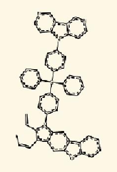 C=Cc1c(/C=C\C)c2cc3oc4ccccc4c3cc2n1-c1ccc([Si](c2ccccc2)(c2ccccc2)c2ccc(-n3c4ccncc4c4cnccc43)cc2)cc1